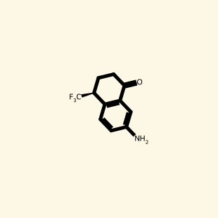 Nc1ccc2c(c1)C(=O)CC[C@@H]2C(F)(F)F